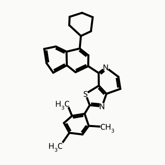 Cc1cc(C)c(-c2nc3ccnc(-c4cc(C5CCCCC5)c5ccccc5c4)c3s2)c(C)c1